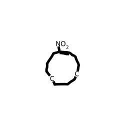 O=[N+]([O-])C1=CCCCCCCCCCC1